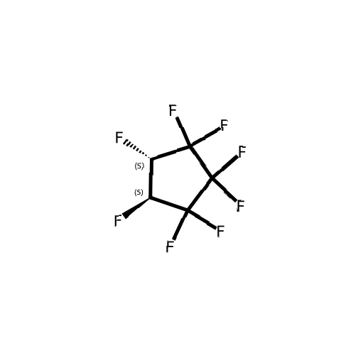 F[C@H]1[C@H](F)C(F)(F)C(F)(F)C1(F)F